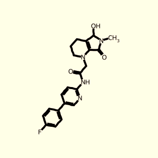 CN1C(=O)C2=C(CCCN2CC(=O)Nc2ccc(-c3ccc(F)cc3)cn2)C1O